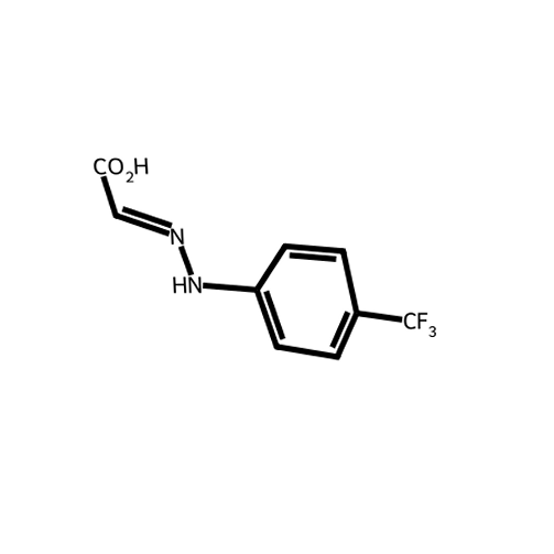 O=C(O)C=NNc1ccc(C(F)(F)F)cc1